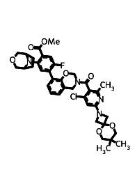 COC(=O)c1cc(F)c(-c2cccc3c2OCN(C(=O)c2c(Cl)cc(N4CC5(C4)OCC(C)(C)CO5)nc2C)C3)cc1N1C2CCC1COC2